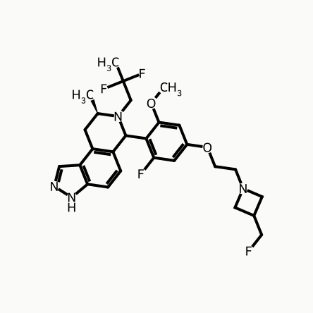 COc1cc(OCCN2CC(CF)C2)cc(F)c1C1c2ccc3[nH]ncc3c2C[C@@H](C)N1CC(C)(F)F